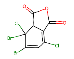 O=C1OC(=O)C2C1=C(Cl)C=C(Br)C2(Cl)Br